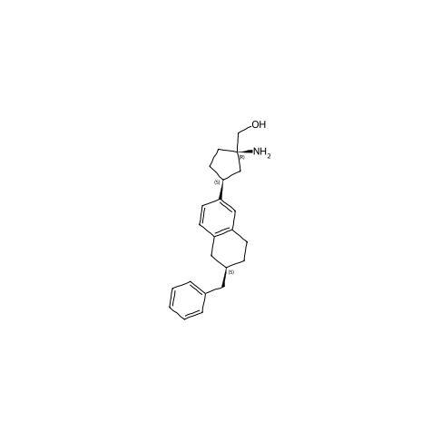 N[C@]1(CO)CC[C@H](c2ccc3c(c2)CC[C@@H](Cc2ccccc2)C3)C1